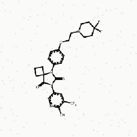 N#Cc1ncc(N2C(=O)C3(CCC3)N(c3ccc(OCCN4CCC(F)(F)CC4)cc3)C2=S)cc1C(F)(F)F